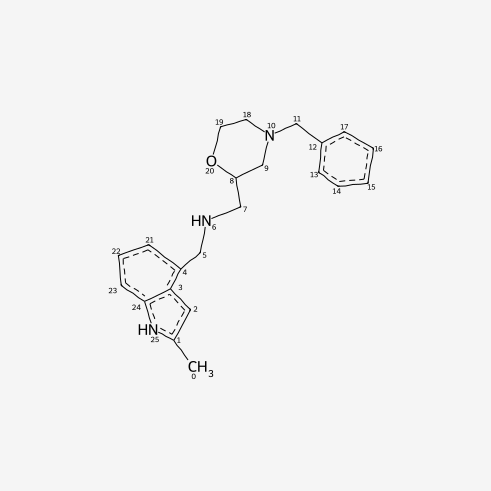 Cc1cc2c(CNCC3CN(Cc4ccccc4)CCO3)cccc2[nH]1